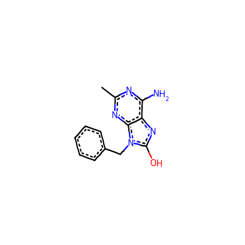 Cc1nc(N)c2nc(O)n(Cc3ccccc3)c2n1